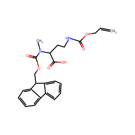 C=CCOC(=O)NCCC(C(=O)O)N(C)C(=O)OCC1c2ccccc2-c2ccccc21